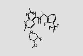 CO[C@H]1CCN(c2cc3c(N[C@H](C)c4cccc(C(F)(F)F)c4F)nc(C)nc3nc2C)C[C@H]1F